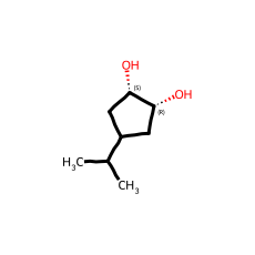 CC(C)C1C[C@@H](O)[C@@H](O)C1